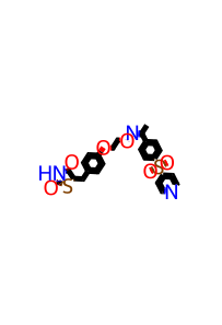 CC(=NOCCOc1ccc(CC2SC(=O)NC2=O)cc1)c1ccc(S(=O)(=O)c2ccncc2)cc1